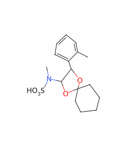 Cc1ccccc1C1OC2(CCCCC2)OC1N(C)S(=O)(=O)O